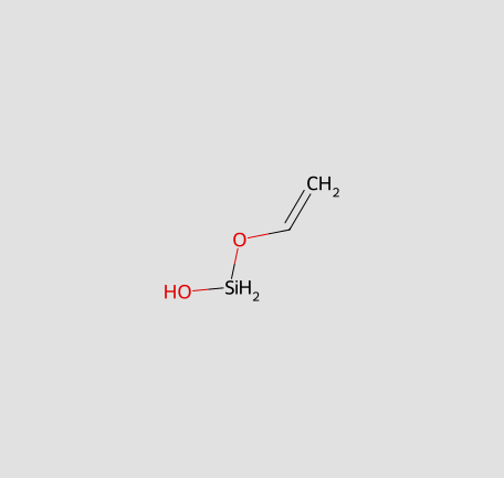 C=CO[SiH2]O